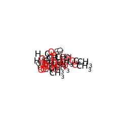 CCC1(OC(=O)C(C)(CC2C3CCC(C3)C2C)CC(C)(CC(C)(C(=O)OC2C3CC4C(=O)OC2C4C3)C(C)(CC(C)(C)C(=O)OCC(=O)OC(CC(=O)OC(C)(C)C)C2CC3C=CC2C3)C(=O)OC23CC4CC(CC(O)(C4)C2)C3)C(=O)OC2(C)C3CC4CC(C3)CC2C4)CCOC1=O